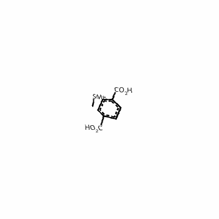 CSC.O=C(O)c1ccc(C(=O)O)cc1